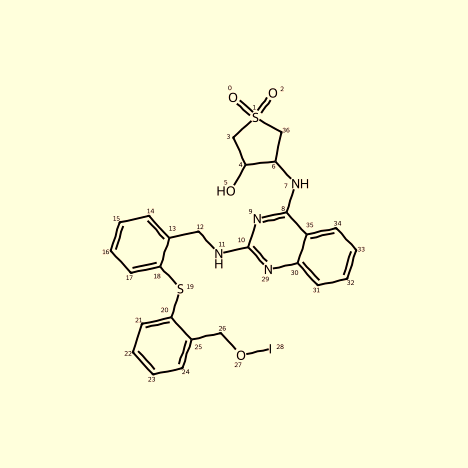 O=S1(=O)CC(O)C(Nc2nc(NCc3ccccc3Sc3ccccc3COI)nc3ccccc23)C1